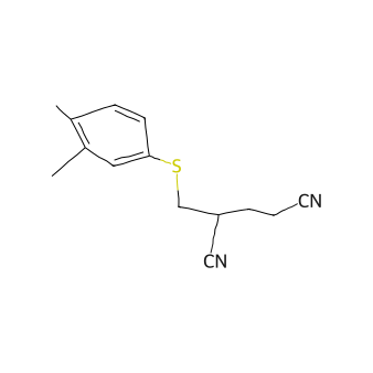 Cc1ccc(SCC(C#N)CCC#N)cc1C